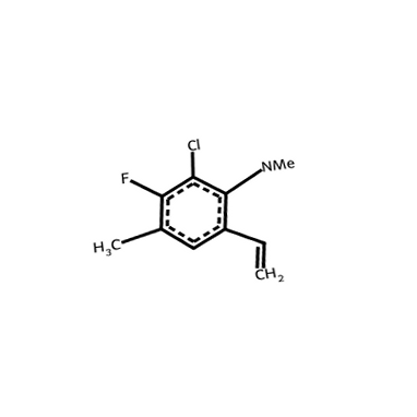 C=Cc1cc(C)c(F)c(Cl)c1NC